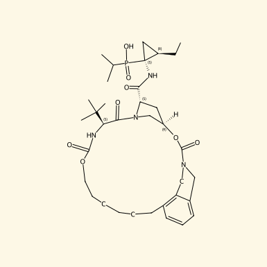 CC[C@@H]1C[C@]1(NC(=O)[C@@H]1C[C@@H]2CN1C(=O)[C@H](C(C)(C)C)NC(=O)OCCCCCCc1cccc3c1CN(C3)C(=O)O2)P(=O)(O)C(C)C